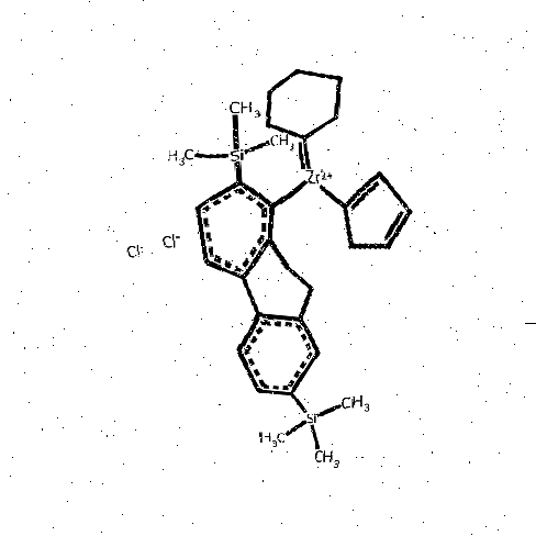 C[Si](C)(C)c1ccc2c(c1)Cc1c-2ccc([Si](C)(C)C)[c]1[Zr+2]([C]1=CC=CC1)=[C]1CCCCC1.[Cl-].[Cl-]